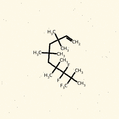 C=CC(C)(C)CC(C)(C)CC(C)(C)C(F)(F)C(C)(C)C(F)(F)F